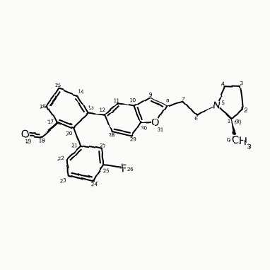 C[C@@H]1CCCN1CCc1cc2cc(-c3cccc(C=O)c3-c3cccc(F)c3)ccc2o1